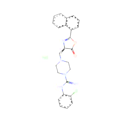 Cl.N=C(Nc1ccccc1Cl)N1CCN(/C=C2/N=C(c3cccc4ccccc34)OC2=O)CC1